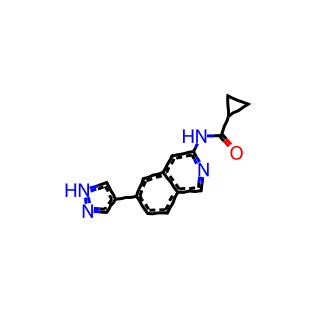 O=C(Nc1cc2cc(-c3cn[nH]c3)ccc2cn1)C1CC1